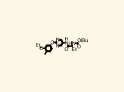 CCOc1cc(Oc2ncc(NC(=O)[C@@H](CC)NC(=O)OCC(C)C)cn2)ccc1C